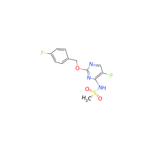 CS(=O)(=O)Nc1nc(OCc2ccc(F)cc2)ncc1F